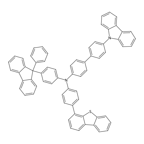 c1ccc(C2(c3ccc(N(c4ccc(-c5ccc(-n6c7ccccc7c7ccccc76)cc5)cc4)c4ccc(-c5cccc6c5sc5ccccc56)cc4)cc3)c3ccccc3-c3ccccc32)cc1